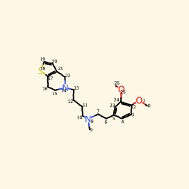 COc1ccc(CCN(C)CCCCN2CCc3sccc3C2)cc1OC